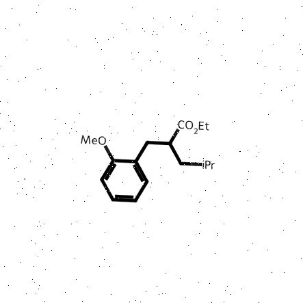 CCOC(=O)C(Cc1ccccc1OC)CC(C)C